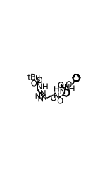 CC(C)(C)OC(=O)NCc1nnn(CCONC(=O)[C@@H]2CC[C@@H]3CN2C(=O)N3OCc2ccccc2)n1